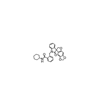 O=C(NC1CCCCC1)c1ccccc1CN1C(=O)C2(COc3cc4c(cc32)OCO4)c2ccccc21